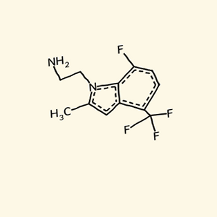 Cc1cc2c(C(F)(F)F)ccc(F)c2n1CCN